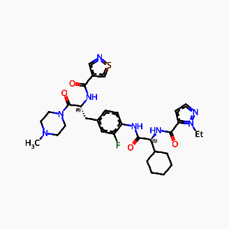 CCn1nccc1C(=O)N[C@H](C(=O)Nc1ccc(C[C@@H](NC(=O)c2cnsc2)C(=O)N2CCN(C)CC2)cc1F)C1CCCCC1